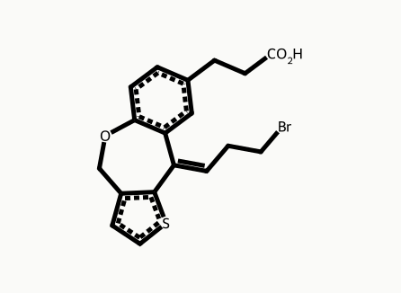 O=C(O)CCc1ccc2c(c1)/C(=C\CCBr)c1sccc1CO2